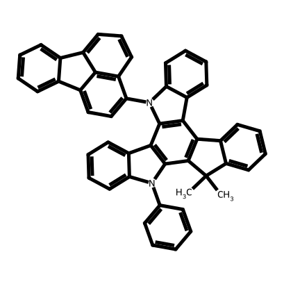 CC1(C)c2ccccc2-c2c1c1c(c3ccccc3n1-c1ccccc1)c1c2c2ccccc2n1-c1ccc2c3c(cccc13)-c1ccccc1-2